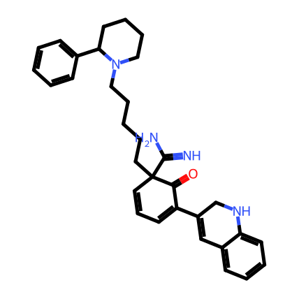 N=C(N)C1(CCCCCN2CCCCC2c2ccccc2)C=CC=C(C2=Cc3ccccc3NC2)C1=O